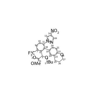 COC(=O)C(OC(C)(C)C)c1c(C(F)(F)F)ccc(-n2cc([N+](=O)[O-])cn2)c1-c1ccc2c(c1)CCCO2